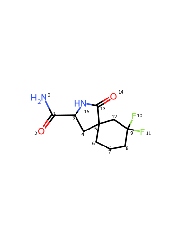 NC(=O)C1CC2(C[CH]CC(F)(F)C2)C(=O)N1